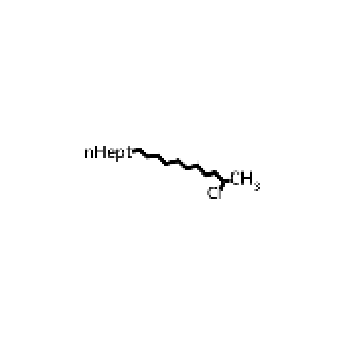 CCCCCCCCCCCCC[CH]CCC(C)Cl